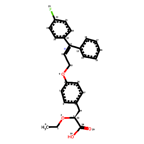 CCO[C@@H](Cc1ccc(OC/C=C(\c2ccccc2)c2ccc(F)cc2)cc1)C(=O)O